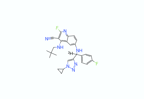 [2H]C(Nc1ccc2nc(F)c(C#N)c(NCC(C)(C)C)c2c1)(c1ccc(F)cc1)c1cn(C2CC2)nn1